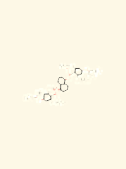 CCCC(CCC)Oc1cc(OC)c(C(=O)Oc2cccc3c(OC(=O)c4c(OC)cc(OC(CCC)CCC)cc4OC)cccc23)c(OC)c1